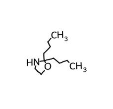 CCCCC1(CCCC)NCCO1